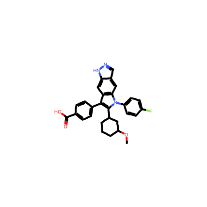 COC1CCCC(c2c(-c3ccc(C(=O)O)cc3)c3cc4[nH]ncc4cc3n2-c2ccc(F)cc2)C1